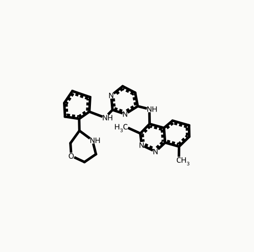 Cc1nnc2c(C)cccc2c1Nc1ccnc(Nc2ccccc2C2COCCN2)n1